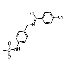 CS(=O)(=O)Nc1ccc(CN=C(Cl)c2ccc(C#N)cc2)cc1